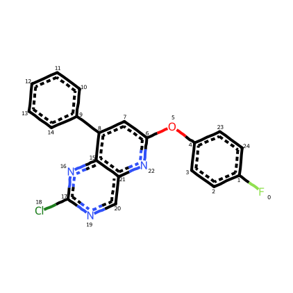 Fc1ccc(Oc2cc(-c3ccccc3)c3nc(Cl)ncc3n2)cc1